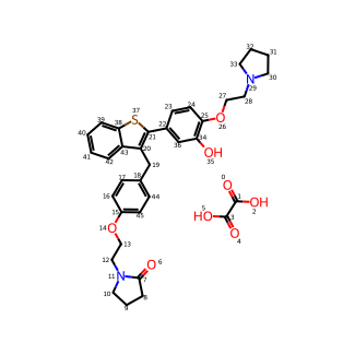 O=C(O)C(=O)O.O=C1CCCN1CCOc1ccc(Cc2c(-c3ccc(OCCN4CCCC4)c(O)c3)sc3ccccc23)cc1